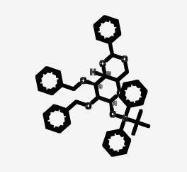 CC(C)(C)[Si](O[C@@H]1OC2COC(c3ccccc3)O[C@H]2[C@H](OCc2ccccc2)C1OCc1ccccc1)(c1ccccc1)c1ccccc1